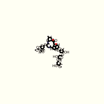 COC(=O)N[C@H]1[C@@H](C)O[C@@H](O[C@H]2C/C=C(\C)[C@@H]3C=C[C@@H]4[C@@H](O[C@H]5C[C@@H](O[C@H]6C[C@@H](O)[C@@H](O[C@@H]7C[C@@H](O)[C@@H](OC)[C@H](C)O7)[C@H](C)O6)[C@@H](O)[C@H](C)O5)[C@@H](C)C[C@H](C)[C@H]4[C@]3(C)C(O)=C3C(=O)O[C@]4(C[C@@H](C)C(C)=C[C@H]4/C=C/2C)C3=O)C[C@]1(C)[N+](=O)[O-]